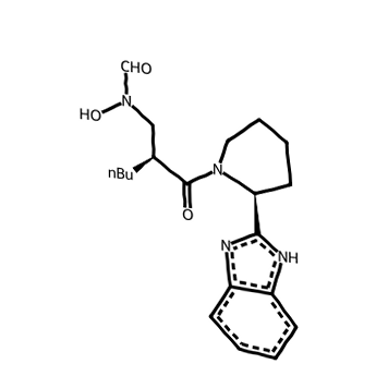 CCCC[C@@H](CN(O)C=O)C(=O)N1CCCC[C@H]1c1nc2ccccc2[nH]1